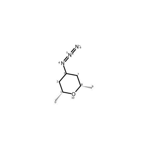 C[C@@H]1CC(N=[N+]=[N-])C[C@H](C)O1